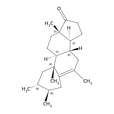 CC1=C2C[C@@H](C)[C@H](C)C[C@]2(C)[C@H]2CC[C@]3(C)C(=O)CC[C@H]3[C@@H]2C1